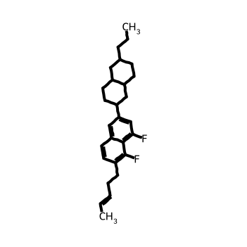 C/C=C/CCc1ccc2cc(C3CCC4CC(CCC)CCC4C3)cc(F)c2c1F